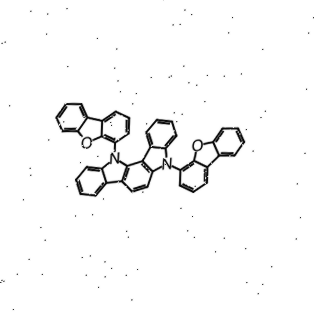 c1ccc2c(c1)oc1c(-n3c4ccccc4c4c3ccc3c5ccccc5n(-c5cccc6c5oc5ccccc56)c34)cccc12